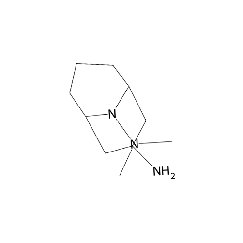 CN(C)N1C2CCCC1CC(N)C2